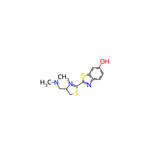 CN(C)CC1CSC(c2nc3ccc(O)cc3s2)=N1